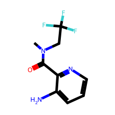 CN(CC(F)(F)F)C(=O)c1ncccc1N